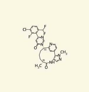 C[C@@H]1CCC[C@H](n2cnc(-c3c(C(F)F)ccc(Cl)c3F)cc2=O)c2cc(ccn2)-c2c(cnn2C)NC1=O